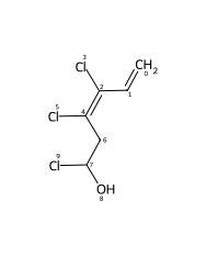 C=C/C(Cl)=C(/Cl)CC(O)Cl